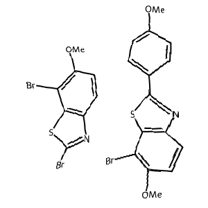 COc1ccc(-c2nc3ccc(OC)c(Br)c3s2)cc1.COc1ccc2nc(Br)sc2c1Br